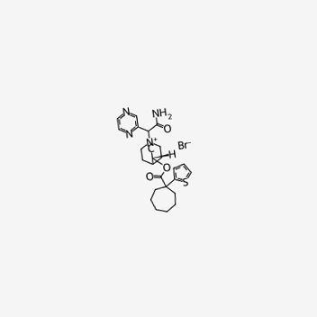 NC(=O)C(c1cnccn1)[N+]12CCC(CC1)[C@@H](OC(=O)C1(c3cccs3)CCCCCC1)C2.[Br-]